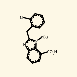 CCCCn1c(Cc2ccccc2Cl)nc2cccc(C(=O)O)c21